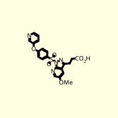 COc1cnc2c(c1)c(CCC(=O)O)nn2S(=O)(=O)c1ccc(Oc2cccnc2)cc1